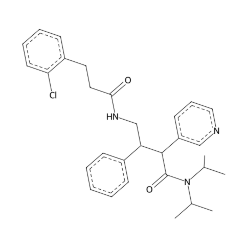 CC(C)N(C(=O)C(c1cccnc1)C(CNC(=O)CCc1ccccc1Cl)c1ccccc1)C(C)C